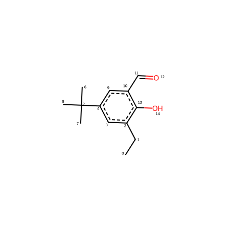 CCc1cc(C(C)(C)C)cc(C=O)c1O